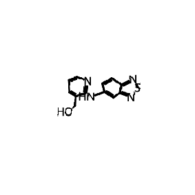 OCc1cccnc1Nc1ccc2nsnc2c1